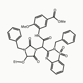 CCOC1C(=O)N(C(C(=O)Nc2cc(C(=O)OC)ccc2OC)C2=Nc3ccccc3S(=O)(=O)N2Cc2ccccc2)C(=O)N1Cc1ccccc1